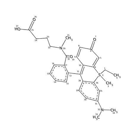 CCS1(C)C2=CC(=O)C=CC2=C(c2ccccc2C(=O)N(C)CCCC(=O)O)c2ccc(N(C)C)cc21